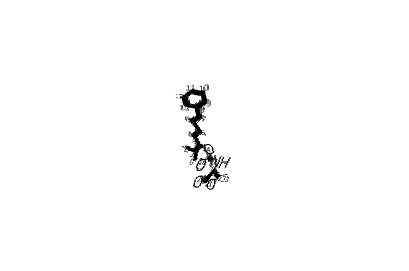 CC(C)C(CCCCc1ccccc1)OC(=O)N[C@H]1C(=O)O[C@H]1C